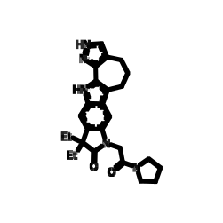 CCC1(CC)C(=O)N(CC(=O)N2CCCC2)c2cc3c4c([nH]c3cc21)-c1n[nH]cc1CCC4